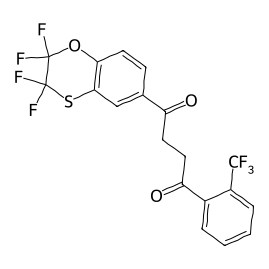 O=C(CCC(=O)c1ccccc1C(F)(F)F)c1ccc2c(c1)SC(F)(F)C(F)(F)O2